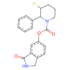 O=C1NCc2ccc(OC(=O)N3CCCC(F)C3c3ccccc3)cc21